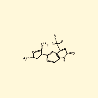 CC1=N[C@H](C)C[C@@H]1c1ccc2[nH]c(=O)cc(C(F)(F)F)c2c1